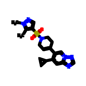 Cc1c(S(=O)(=O)N2CC=C(c3cn4ncnc4cc3C3CC3)CC2)cnn1C